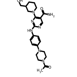 CC(=O)N1CCN(c2ccc(Nc3ncc(C(N)=O)c(N4CCCC(CO)C4)n3)cc2)CC1